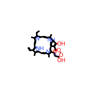 C=Cc1c(C)c2cc3nc(c4c5[nH]c(cc6nc(cc1[nH]2)C(C)=C6CC)c(C)c5C(O)=C4C(=O)OC)C(/C=C/C(=O)O)=C3C